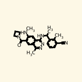 CNc1cc2c(NC(C)c3cccc(C#N)c3C)nnc(C)c2cc1C(=O)N1CCC1